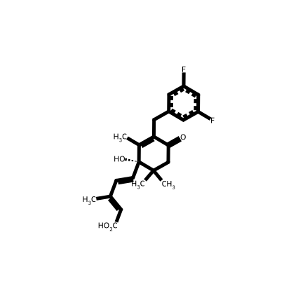 CC(C=C[C@@]1(O)C(C)=C(Cc2cc(F)cc(F)c2)C(=O)CC1(C)C)=CC(=O)O